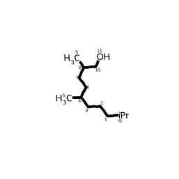 CC(C)CCCC(C)CCC(C)CO